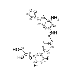 Nc1nc(NCCN2CCN(c3cc(OCC(O)CO)c(F)cc3F)CC2)nc2cc(-c3ccco3)nn12